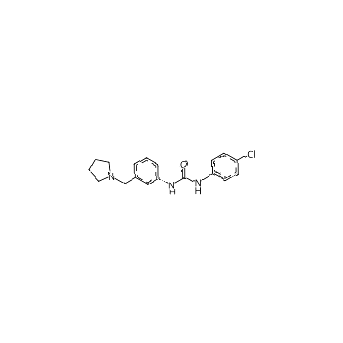 O=C(Nc1ccc(Cl)cc1)Nc1cccc(CN2CCCC2)c1